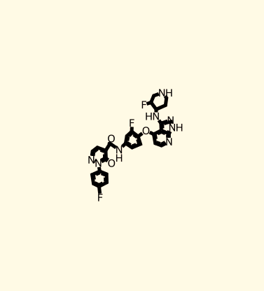 O=C(Nc1ccc(Oc2ccnc3[nH]nc(NC4CCNCC4F)c23)c(F)c1)c1ccnn(-c2ccc(F)cc2)c1=O